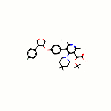 Cc1nc(C)c(C(OC(C)(C)C)C(=O)O)c(N2CCC(C)(C)CC2)c1-c1ccc(OC2COCC2c2ccc(F)cc2)cc1